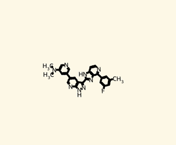 Cc1cc(F)cc(-c2nccc3[nH]c(-c4n[nH]c5ncc(-c6cncc(N(C)C)c6)cc45)nc23)c1